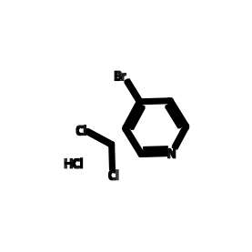 Brc1ccncc1.Cl.ClCCl